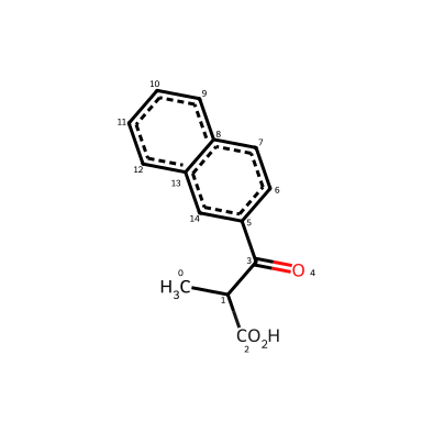 CC(C(=O)O)C(=O)c1ccc2ccccc2c1